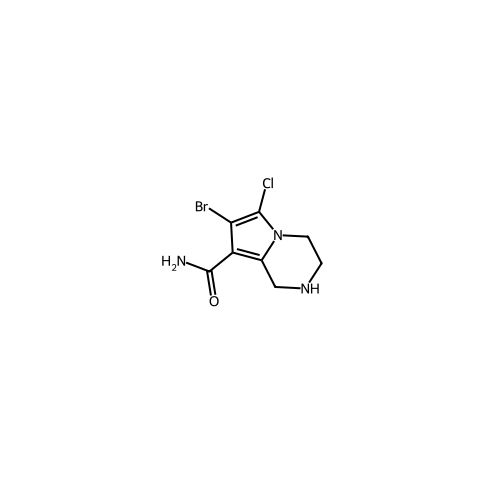 NC(=O)c1c(Br)c(Cl)n2c1CNCC2